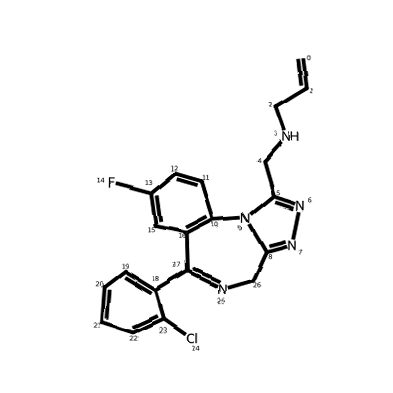 C=CCNCc1nnc2n1-c1ccc(F)cc1C(c1ccccc1Cl)=NC2